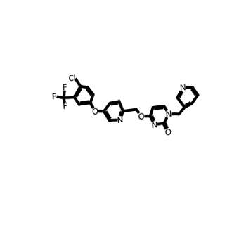 O=c1nc(OCc2ccc(Oc3ccc(Cl)c(C(F)(F)F)c3)cn2)ccn1Cc1cccnc1